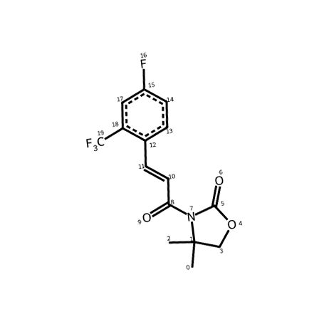 CC1(C)COC(=O)N1C(=O)/C=C/c1ccc(F)cc1C(F)(F)F